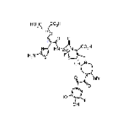 CCCC1CCN(CC2=C(C(=O)O)N3C(=O)[C@@H](NC(=O)/C(=C\O[C@@H](CC(=O)O)C(=O)O)c4csc(N)n4)[C@H]3S[C@H]2C)CCN1C(=O)C(=O)c1cc(O)c(O)c(F)c1